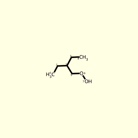 CCC(CC)COO